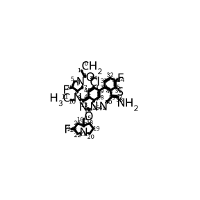 C=CC(=O)N1CC(F)C(N(CC)c2nc(OCC34CCCN3CC(F)C4)nc3cc(-c4ccc(F)c5sc(N)c(C#N)c45)c(Cl)cc23)C1